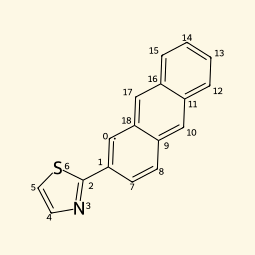 [c]1c(-c2nccs2)ccc2cc3ccccc3cc12